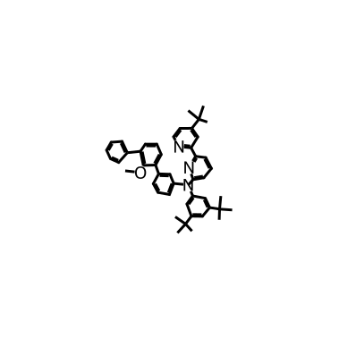 COc1c(-c2ccccc2)cccc1-c1cccc(N(c2cc(C(C)(C)C)cc(C(C)(C)C)c2)c2cccc(-c3cc(C(C)(C)C)ccn3)n2)c1